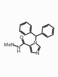 CNNC(=O)c1cncn1C(c1ccccc1)c1ccccc1